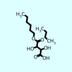 CCCC.CCCCCCOC(=O)C(O)C(O)C(=O)O